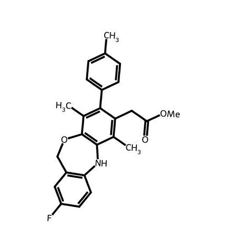 COC(=O)Cc1c(C)c2c(c(C)c1-c1ccc(C)cc1)OCc1cc(F)ccc1N2